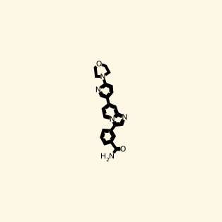 NC(=O)c1cccc(-c2cnc3cc(-c4ccc(N5CCOCC5)nc4)ccn23)c1